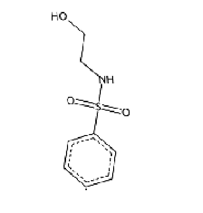 O=S(=O)(NCCO)c1cc[c]cc1